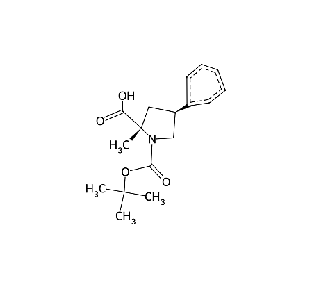 CC(C)(C)OC(=O)N1C[C@H](c2ccccc2)C[C@@]1(C)C(=O)O